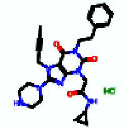 CC#CCn1c(N2CCNCC2)nc2c1c(=O)n(CCc1ccccc1)c(=O)n2CC(=O)NC1CC1.Cl